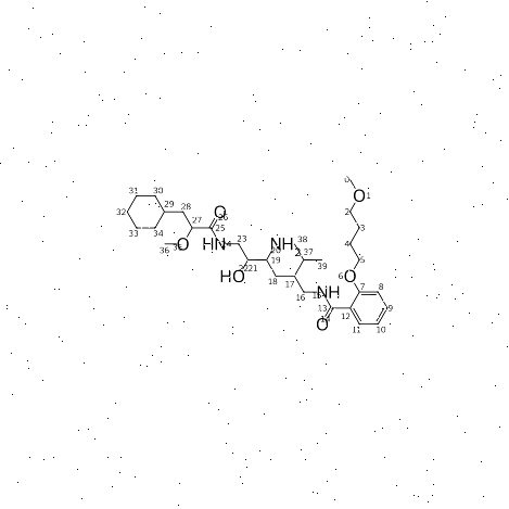 COCCCCOc1ccccc1C(=O)NCC(CC(N)C(O)CNC(=O)C(CC1CCCCC1)OC)C(C)C